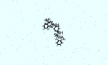 COc1ccccc1CNC(=S)NC1CCC(Nc2nc(N(C)C)c3ccccc3n2)CC1